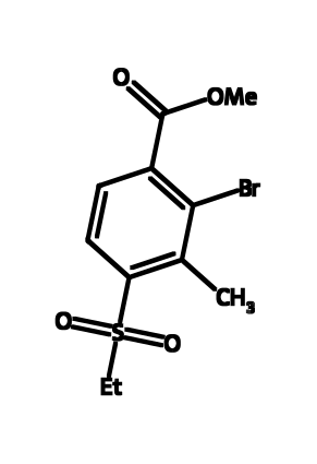 CCS(=O)(=O)c1ccc(C(=O)OC)c(Br)c1C